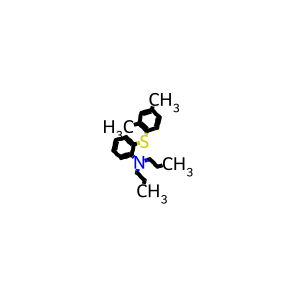 CCCN(CCC)c1ccccc1Sc1ccc(C)cc1C